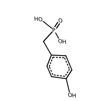 O=P(O)(O)Cc1ccc(O)cc1